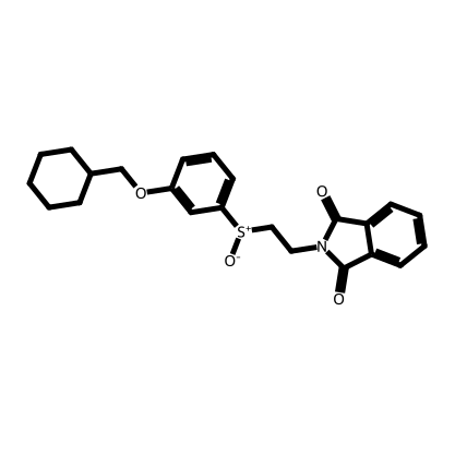 O=C1c2ccccc2C(=O)N1CC[S+]([O-])c1cccc(OCC2CCCCC2)c1